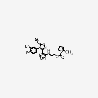 CC1=CCC[SH]1C(=O)OCCNc1nonc1C1=NOC(=C=O)N1c1ccc(F)c(Br)c1